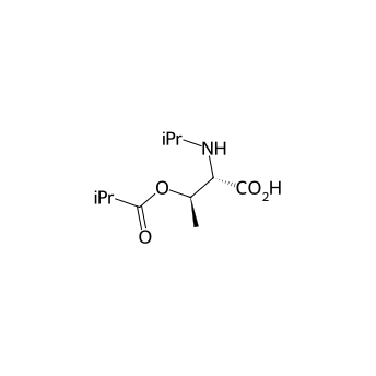 CC(C)N[C@H](C(=O)O)[C@@H](C)OC(=O)C(C)C